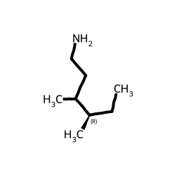 CC[C@@H](C)C(C)CCN